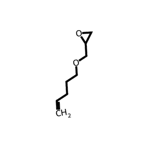 C=CCCCOCC1CO1